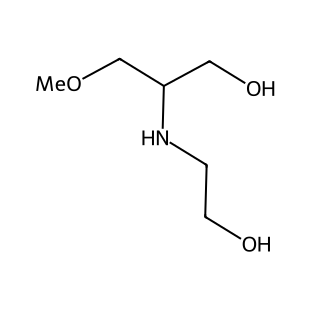 COCC(CO)NCCO